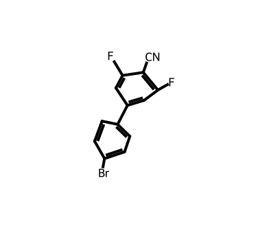 N#Cc1c(F)cc(-c2ccc(Br)cc2)cc1F